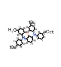 CCCCCCCCc1cccc(N2c3ccc(C(C)(C)C)cc3B3c4ccc(C)cc4N(c4ccc(C(C)(C)C)cc4)c4cccc2c43)c1